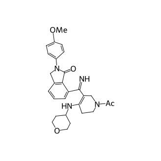 COc1ccc(N2Cc3cccc(C(=N)C4=C(NC5CCOCC5)CCN(C(C)=O)C4)c3C2=O)cc1